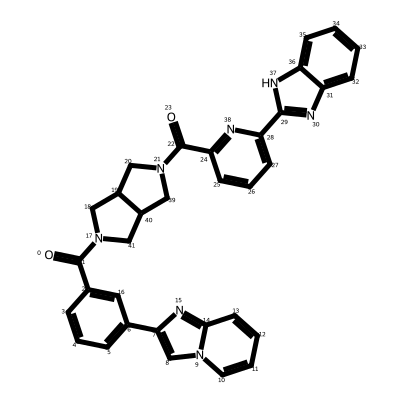 O=C(c1cccc(-c2cn3ccccc3n2)c1)N1CC2CN(C(=O)c3cccc(-c4nc5ccccc5[nH]4)n3)CC2C1